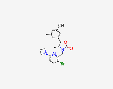 Cc1cc(C#N)cc([C@H]2OC(=O)N(Cc3nc(N4CCC4)ccc3Br)[C@H]2C)c1